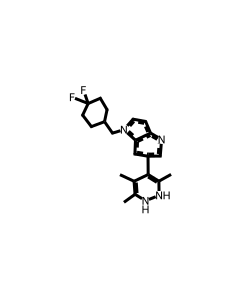 CC1=C(C)C(c2cnc3ccn(CC4CCC(F)(F)CC4)c3c2)=C(C)NN1